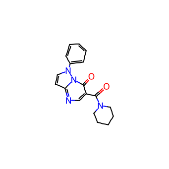 O=C(c1cnc2ccn(-c3ccccc3)n2c1=O)N1CCCCC1